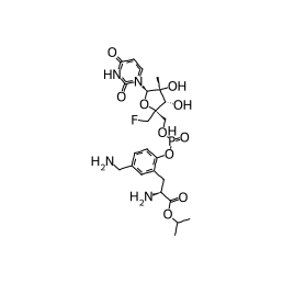 CC(C)OC(=O)[C@@H](N)Cc1cc(CN)ccc1O[PH](=O)OC[C@@]1(CF)O[C@@H](n2ccc(=O)[nH]c2=O)[C@](C)(O)[C@@H]1O